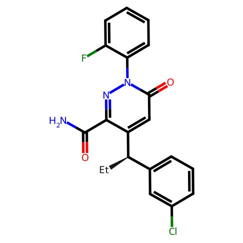 CC[C@H](c1cccc(Cl)c1)c1cc(=O)n(-c2ccccc2F)nc1C(N)=O